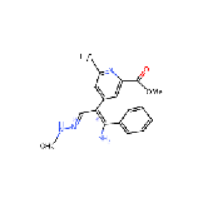 COC(=O)c1cc(C(/C=N/NC=O)=C(/N)c2ccccc2)cc(C)n1